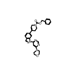 O=C(OCc1ccccc1)N1CC=C(c2ccc3cnn(-c4cc(N5CCOCC5)ncn4)c3c2)CC1